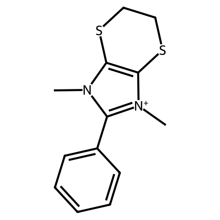 Cn1c2c([n+](C)c1-c1ccccc1)SCCS2